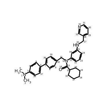 CN(C)c1ccc(-c2ccc(CN(C(=O)C3CCCCC3)c3cccc(NCc4cccnc4)c3)cc2)cc1